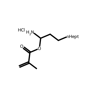 C=C(C)C(=O)OC(N)CCCCCCCCC.Cl